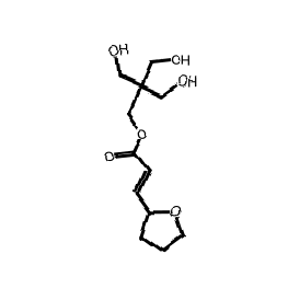 O=C(C=CC1CCCO1)OCC(CO)(CO)CO